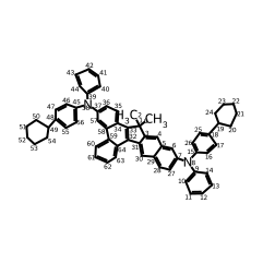 CC1(C)c2cc3cc(N(c4ccccc4)c4ccc(C5CCCCC5)cc4)ccc3cc2-c2c1c1ccc(N(c3ccccc3)c3ccc(C4CCCCC4)cc3)cc1c1ccccc21